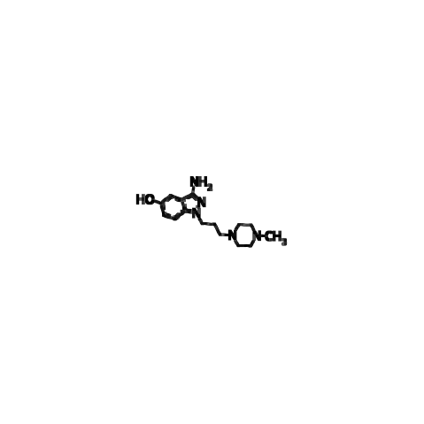 CN1CCN(CCCn2nc(N)c3cc(O)ccc32)CC1